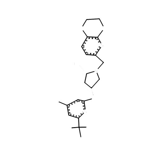 C[C@H]1C[C@@H](Oc2cc(I)cc(C(F)(F)F)n2)CN1Cc1ccc2c(n1)OCCO2